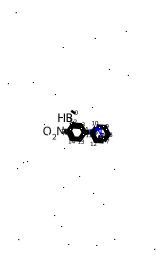 CBC1=CC(N2CC3CCC2CC3)CC=C1[N+](=O)[O-]